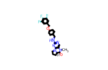 CN1C(=O)[C@@H]2CCCN2c2nc(NCc3ccc(OCc4cc(F)c(F)c(F)c4)cc3)ncc21